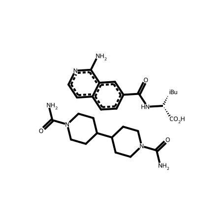 CC[C@@H](C)[C@@H](NC(=O)c1ccc2ccnc(N)c2c1)C(=O)O.NC(=O)N1CCC(C2CCN(C(N)=O)CC2)CC1